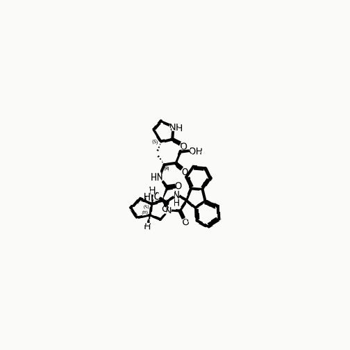 CC(=O)NC1(C(=O)N2C[C@@H]3CCC[C@@H]3[C@H]2C(=O)N[C@H](C[C@@H]2CCNC2=O)C(=O)CO)c2ccccc2-c2ccccc21